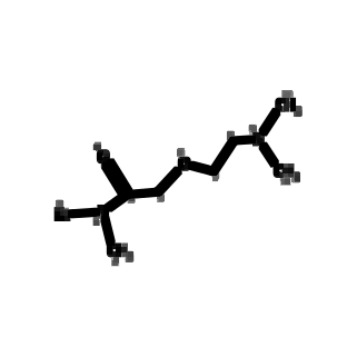 CCN(C)C(=O)COCCN(C)C